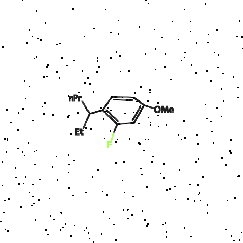 CCCC(CC)c1ccc(OC)cc1F